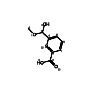 COC(O)c1cccc(C(=O)O)n1